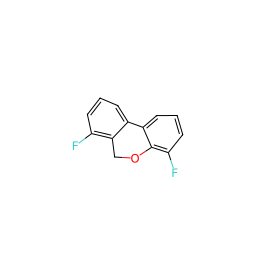 Fc1cccc2c1COc1c(F)cccc1-2